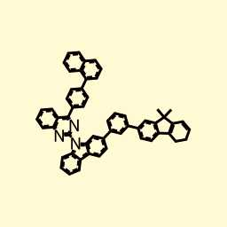 CC1(C)C2=C(CCC=C2)c2ccc(-c3cccc(-c4ccc5c6ccccc6n(-c6nc(-c7ccc(-c8cccc9ccccc89)cc7)c7ccccc7n6)c5c4)c3)cc21